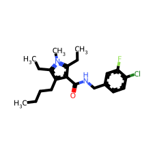 CCCCc1c(C(=O)NCc2ccc(Cl)c(F)c2)c(CC)n(C)c1CC